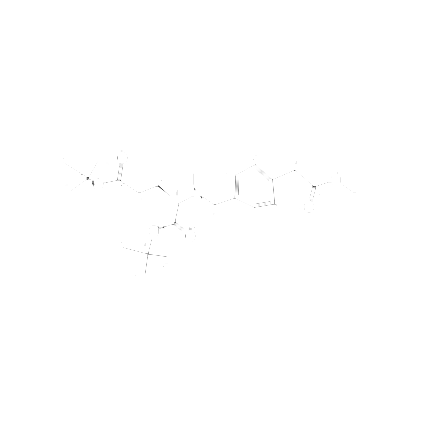 COC(=O)Cc1ccc(CN[C@H](CCC(=O)OC(C)(C)C)C(=O)OC(C)(C)C)cc1